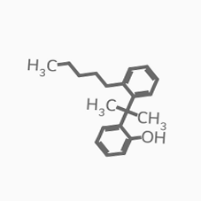 CCCCCc1ccccc1C(C)(C)c1ccccc1O